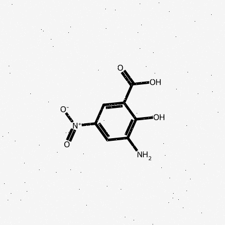 Nc1cc([N+](=O)[O-])cc(C(=O)O)c1O